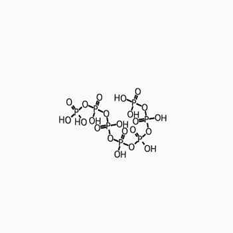 O=P(O)(O)OP(=O)(O)OP(=O)(O)OP(=O)(O)OP(=O)(O)OP(=O)(O)OP(=O)(O)O